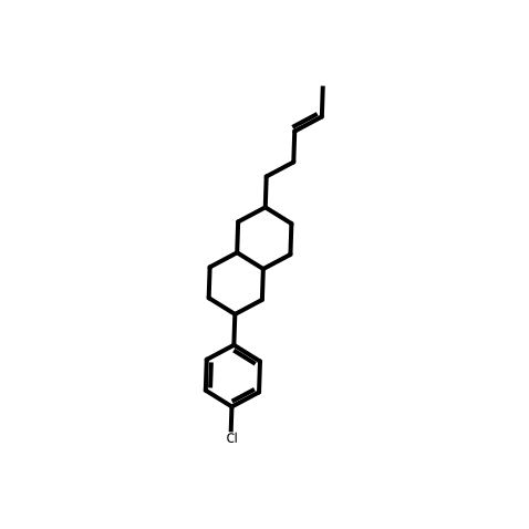 C/C=C/CCC1CCC2CC(c3ccc(Cl)cc3)CCC2C1